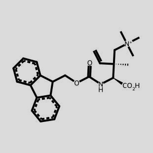 C=C[C@@](C)(C[N+](C)(C)C)[C@H](NC(=O)OCC1c2ccccc2-c2ccccc21)C(=O)O